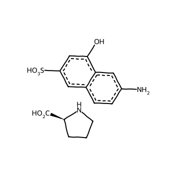 Nc1ccc2cc(S(=O)(=O)O)cc(O)c2c1.O=C(O)[C@@H]1CCCN1